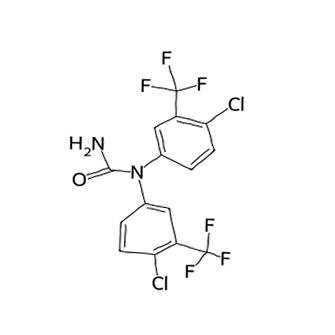 NC(=O)N(c1ccc(Cl)c(C(F)(F)F)c1)c1ccc(Cl)c(C(F)(F)F)c1